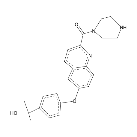 CC(C)(O)c1ccc(Oc2ccc3nc(C(=O)N4CCNCC4)ccc3c2)cc1